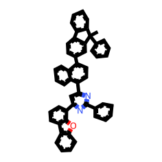 CC1(c2ccccc2)c2ccccc2-c2ccc(-c3ccc(-c4cc(-c5cccc6c5oc5ccccc56)nc(-c5ccccc5)n4)c4ccccc34)cc21